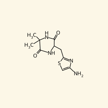 CC1(C)NC(=O)C(Cc2nc(N)cs2)NC1=O